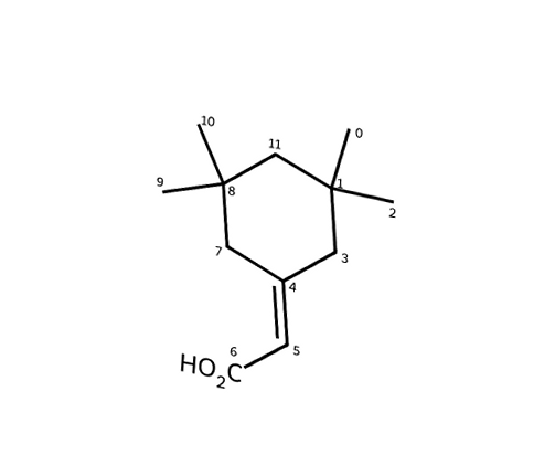 CC1(C)CC(=CC(=O)O)CC(C)(C)C1